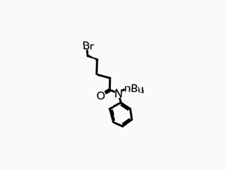 CCCCN(C(=O)CCCCBr)c1ccccc1